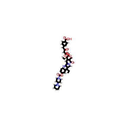 CCc1c2c(nc3ccc(OC(=O)N4CCC(N5CCCCC5)CC4)cc13)-c1cc3c(c(=O)n1C2)COC(=O)[C@@]3(CC)OC(=O)CC(=O)Cc1ccc(C(=O)O)cc1